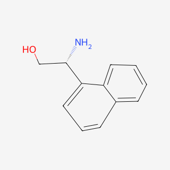 N[C@@H](CO)c1cccc2ccccc12